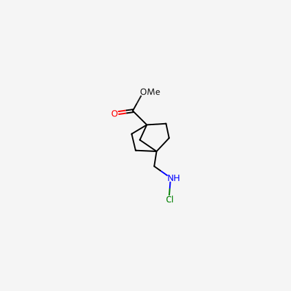 COC(=O)C12CCC(CNCl)(CC1)C2